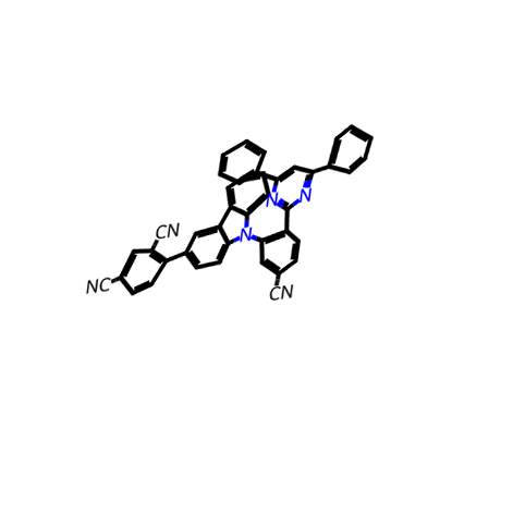 N#Cc1ccc(-c2ccc3c(c2)c2ccccc2n3-c2cc(C#N)ccc2-c2nc(-c3ccccc3)cc(-c3ccccc3)n2)c(C#N)c1